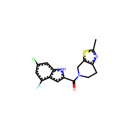 Cc1nc2c(s1)CN(C(=O)c1cc3c(F)cc(Cl)cc3[nH]1)CC2